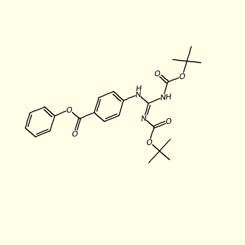 CC(C)(C)OC(=O)N=C(NC(=O)OC(C)(C)C)Nc1ccc(C(=O)Oc2ccccc2)cc1